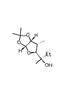 CC[C@@](C)(O)[C@H]1O[C@@H]2OC(C)(C)O[C@@H]2[C@@H]1C